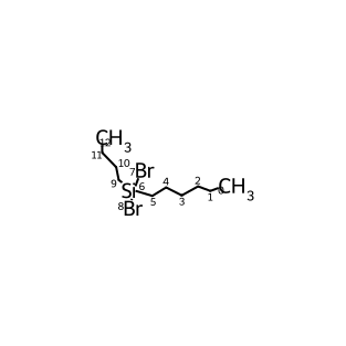 CCCCCC[Si](Br)(Br)CCCC